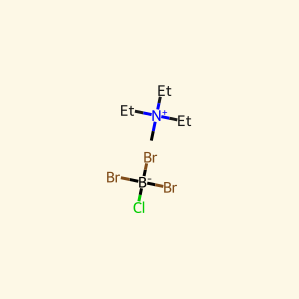 CC[N+](C)(CC)CC.Cl[B-](Br)(Br)Br